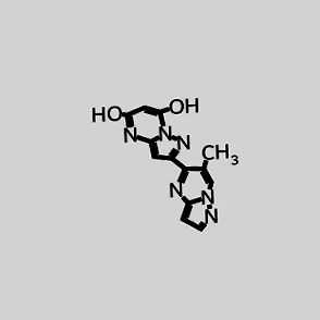 Cc1cn2nccc2nc1-c1cc2nc(O)cc(O)n2n1